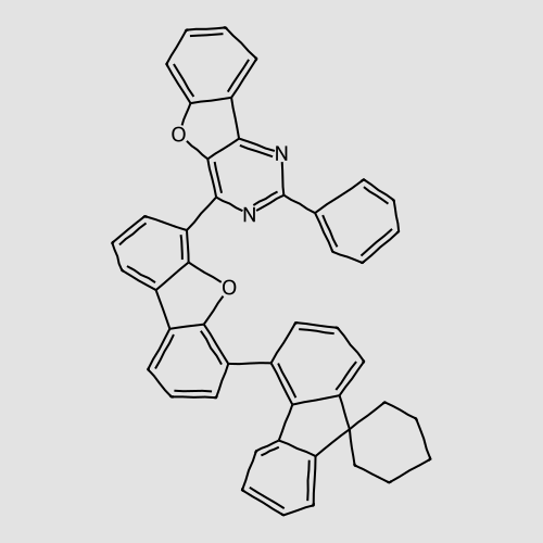 c1ccc(-c2nc(-c3cccc4c3oc3c(-c5cccc6c5-c5ccccc5C65CCCCC5)cccc34)c3oc4ccccc4c3n2)cc1